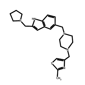 Cc1nc(CN2CCN(Cc3ccc4[nH]c(CN5CCCC5)cc4c3)CC2)cs1